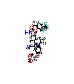 C[C@@H](OC(=O)Nc1ccc(-c2c(C#N)c3cc(OC4COCOC4)ccc3n2C2CCC2)cc1)c1ccc(C(F)(F)F)cc1